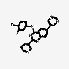 Fc1ccc(Nc2nc(-c3cccnc3)nc3ccc(-c4cncnc4)cc23)cc1F